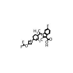 Cc1c(C(=O)O)c2ccc(F)cc2n1C(C)C1CCC(N2CC(OC(F)F)C2)CC1